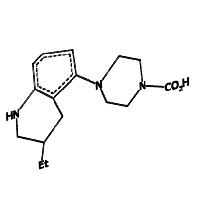 CCC1CNc2cccc(N3CCN(C(=O)O)CC3)c2C1